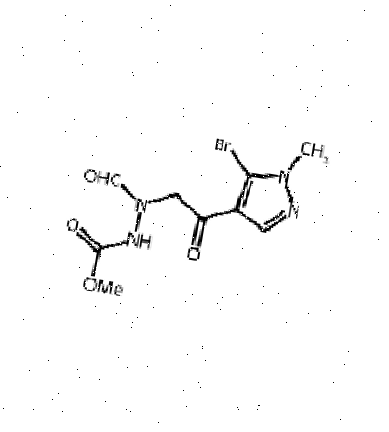 COC(=O)NN(C=O)CC(=O)c1cnn(C)c1Br